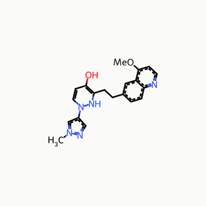 COc1ccnc2ccc(CCC3=C(O)C=CN(c4cnn(C)c4)N3)cc12